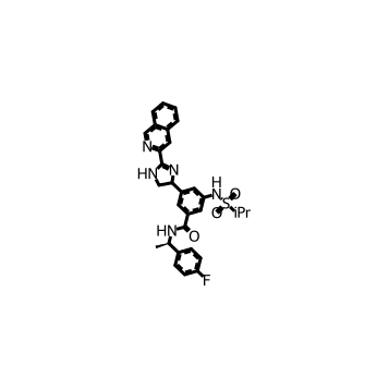 CC(C)S(=O)(=O)Nc1cc(C(=O)N[C@H](C)c2ccc(F)cc2)cc(C2CNC(c3cc4ccccc4cn3)=N2)c1